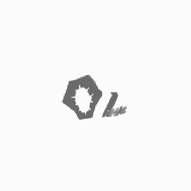 CNC(C)=O.c1ccccc1